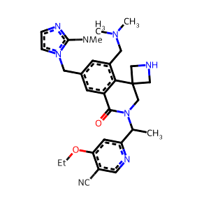 CCOc1cc(C(C)N2CC3(CNC3)c3c(CN(C)C)cc(Cn4ccnc4NC)cc3C2=O)ncc1C#N